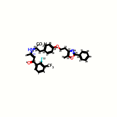 C/C(=C\C(=O)c1cccc(C(F)(F)F)c1F)N[C@@H](Cc1ccc(OCCc2nc(-c3ccccc3)oc2C)cc1)C(=O)O